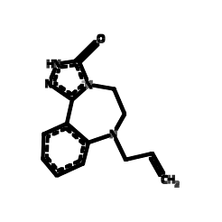 C=CCN1CCn2c(n[nH]c2=O)-c2ccccc21